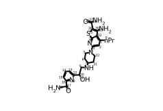 CCCc1cc(N2CCC(NCC(O)c3cccc(C(N)=O)n3)CC2)nc2sc(C(N)=O)c(N)c12